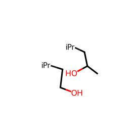 CC(C)CC(C)O.CC(C)CCO